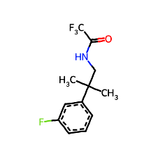 CC(C)(CNC(=O)C(F)(F)F)c1cccc(F)c1